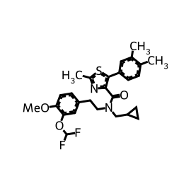 COc1ccc(CCN(CC2CC2)C(=O)c2nc(C)sc2-c2ccc(C)c(C)c2)cc1OC(F)F